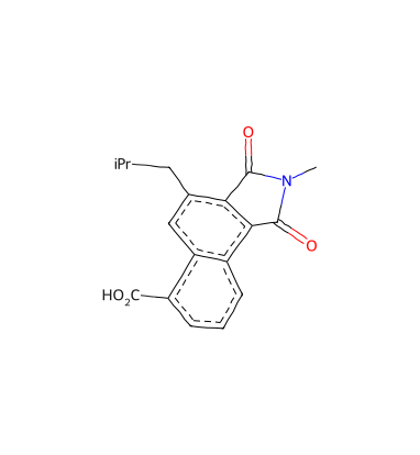 CC(C)Cc1cc2c(C(=O)O)cccc2c2c1C(=O)N(C)C2=O